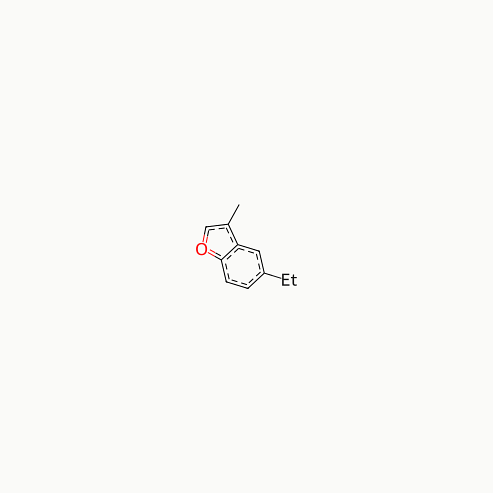 CCc1ccc2occ(C)c2c1